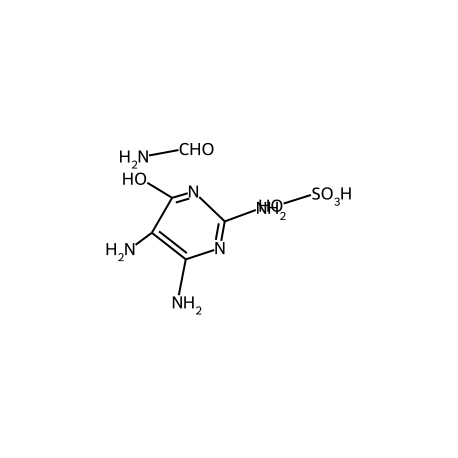 NC=O.Nc1nc(N)c(N)c(O)n1.O=S(=O)(O)O